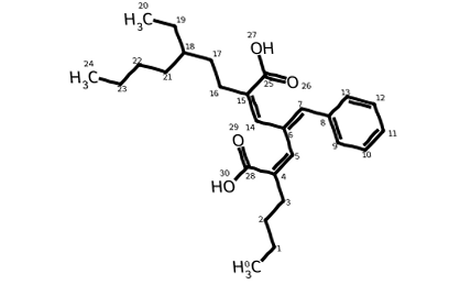 CCCCC(=CC(=Cc1ccccc1)C=C(CCC(CC)CCCC)C(=O)O)C(=O)O